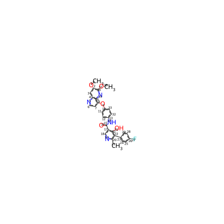 COc1cc2nccc(Oc3ccc(NC(=O)c4cnc(C)c(-c5ccc(F)cc5)c4O)cc3)c2nc1OC